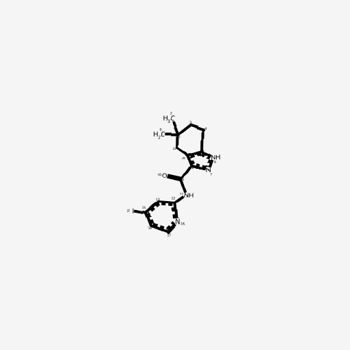 CC1(C)CCc2[nH]nc(C(=O)Nc3cc(I)ccn3)c2C1